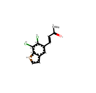 COC(=O)/C=C/c1cc2ccsc2c(Cl)c1Cl